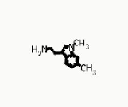 Cc1ccc2c(CCN)cn(C)c2c1